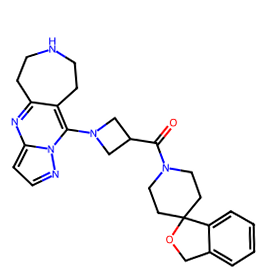 O=C(C1CN(c2c3c(nc4ccnn24)CCNCC3)C1)N1CCC2(CC1)OCc1ccccc12